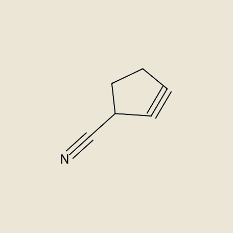 N#CC1C#CCC1